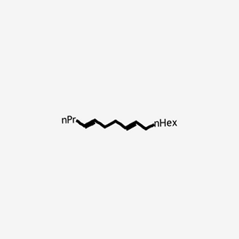 [CH2]CCCCCCC=CCCC=CCCC